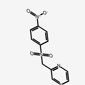 O=[N+]([O-])c1ccc(S(=O)(=O)Cc2cnccn2)cc1